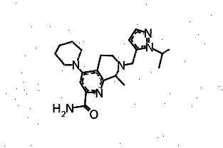 CC1c2nc(C(N)=O)cc(N3CCCCC3)c2CCN1Cc1ccnn1C(C)C